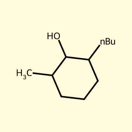 CCCCC1CCCC(C)C1O